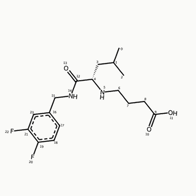 CC(C)C[C@H](NCCCC(=O)O)C(=O)NCc1ccc(F)c(F)c1